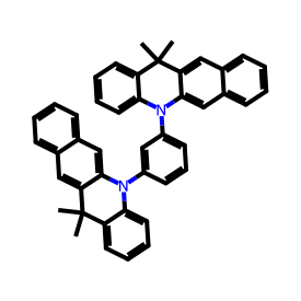 CC1(C)c2ccccc2N(c2cccc(N3c4ccccc4C(C)(C)c4cc5ccccc5cc43)c2)c2cc3ccccc3cc21